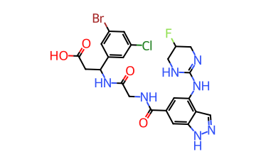 O=C(O)CC(NC(=O)CNC(=O)c1cc(NC2=NCC(F)CN2)c2cn[nH]c2c1)c1cc(Cl)cc(Br)c1